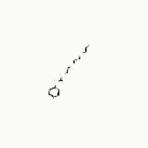 O=C(Nc1ccc(O)cc1)OCCOCCOCCO